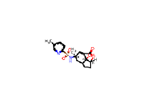 Cc1ccc(S(=O)(=O)N[C@@]2(C)C=C3C(=O)O[C@@H]4CCC(C2)[C@]34O)nc1